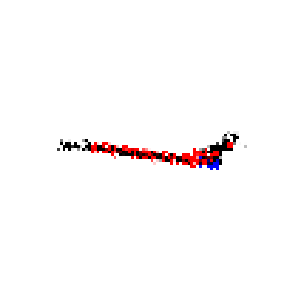 COCCOCCOCCOCCOCCOCCOCCOCCOCCOCCOCCOCCN(Cc1cc(-c2cc(-c3cccc(C(F)(F)F)c3)ccc2O)ccn1)C(=O)OC(C)(C)C